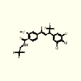 Cc1cc(/C(F)=C/C(c2cc(Cl)c(Cl)c(Cl)c2)C(F)(F)F)ccc1C(=O)NCC(F)(F)F